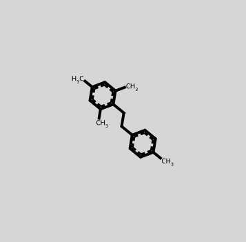 Cc1ccc(C[CH]c2c(C)cc(C)cc2C)cc1